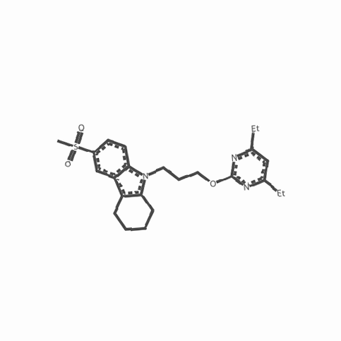 CCc1cc(CC)nc(OCCCn2c3c(c4cc(S(C)(=O)=O)ccc42)CCCC3)n1